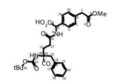 COC(=O)Cc1ccc(C(NC(=O)CC[C@](Cc2ccccc2)(NC(=O)OC(C)(C)C)C(=O)O)C(=O)O)cc1